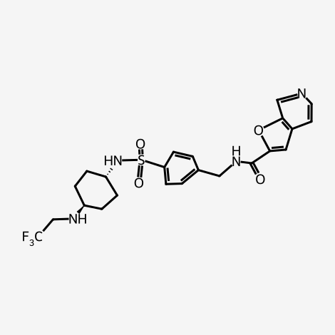 O=C(NCc1ccc(S(=O)(=O)N[C@H]2CC[C@H](NCC(F)(F)F)CC2)cc1)c1cc2ccncc2o1